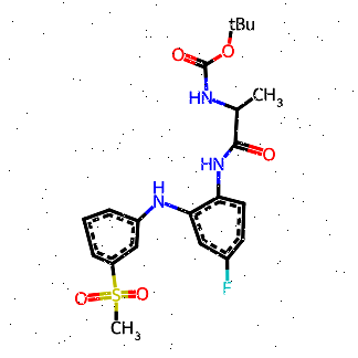 CC(NC(=O)OC(C)(C)C)C(=O)Nc1ccc(F)cc1Nc1cccc(S(C)(=O)=O)c1